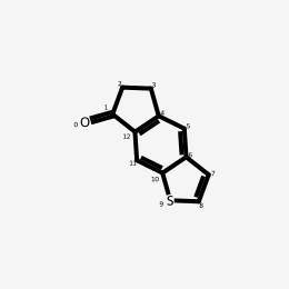 O=C1CCc2cc3ccsc3cc21